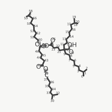 CC(C)CCCCCCCC(CCCCCCCC(C)C)(CCCC(=O)O)C(=O)O.CC(C)CCCCCCCOC(=O)CCCCC(=O)OCCCCCCCC(C)C